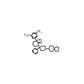 O=C1N(C2(c3ccccc3)CCC(N3CCC4(CCOC4)CC3)CC2)CCCC1(O)c1cc(C(F)(F)F)cc(C(F)(F)F)c1